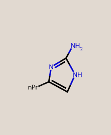 CCCc1c[nH]c(N)n1